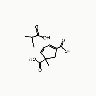 CC(C)C(=O)O.CC1(C(=O)O)C=CC=C(C(=O)O)C1